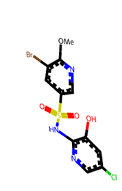 COc1ncc(S(=O)(=O)Nc2ncc(Cl)cc2O)cc1Br